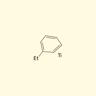 CCc1ccccc1.[Ti]